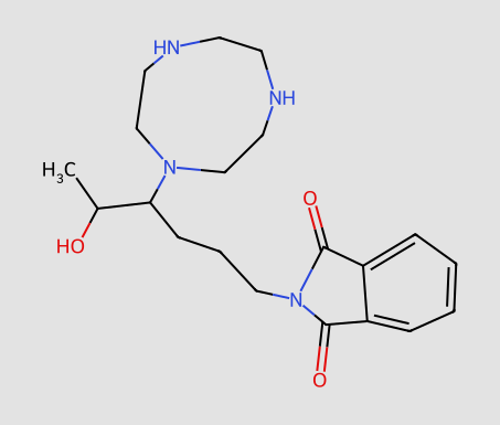 CC(O)C(CCCN1C(=O)c2ccccc2C1=O)N1CCNCCNCC1